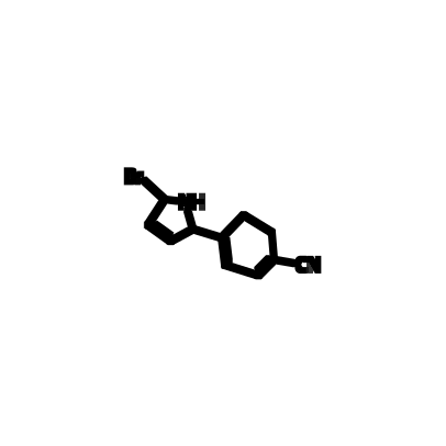 N#CC1=CC=C(C2C=CC(Br)N2)CC1